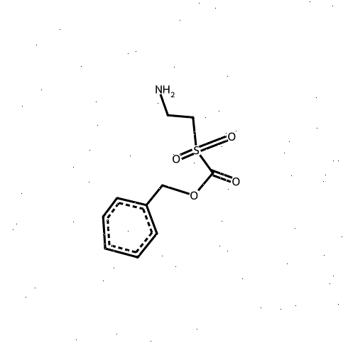 NCCS(=O)(=O)C(=O)OCc1ccccc1